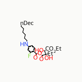 CCCCCCCCCCCCCCCCNc1ccc(C(=O)OC(=O)C(O)(CC)C(O)C(=O)OCC)c(F)c1